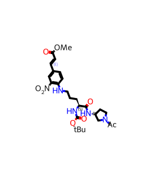 COC(=O)/C=C/c1ccc(NCCC[C@H](NC(=O)OC(C)(C)C)C(=O)N[C@@H]2CCN(C(C)=O)C2)c([N+](=O)[O-])c1